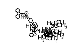 CC(C)(C)OC(=O)CC[C@H](NC(=O)N[C@@H](CCCCNC(=O)[C@H](Cc1csc2ccccc12)NC(=O)C1CCC(CNC(=O)OCC2c3ccccc3-c3ccccc32)CC1)C(=O)OC(C)(C)C)C(=O)OC(C)(C)C